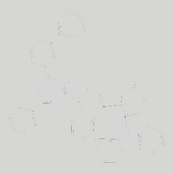 c1ccc(-c2cccc(-c3nc(-c4ccccc4)nc(-c4ccc5c6c(cccc46)-c4ccccc4N(c4ccccc4)c4ccccc4-5)n3)c2)cc1